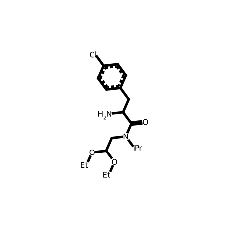 CCOC(CN(C(=O)C(N)Cc1ccc(Cl)cc1)C(C)C)OCC